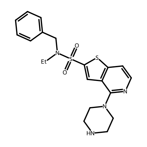 CCN(Cc1ccccc1)S(=O)(=O)c1cc2c(N3CCNCC3)nccc2s1